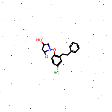 CCC1CC(O)CN1Oc1ccc(F)cc1CCc1ccccc1.Cl